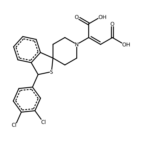 O=C(O)C=C(C(=O)O)N1CCC2(CC1)SC(c1ccc(Cl)c(Cl)c1)c1ccccc12